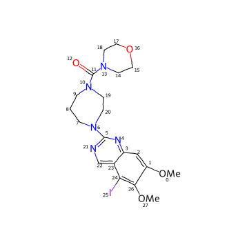 COc1cc2nc(N3CCCN(C(=O)N4CCOCC4)CC3)ncc2c(I)c1OC